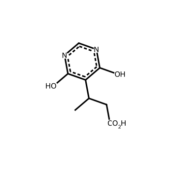 CC(CC(=O)O)c1c(O)ncnc1O